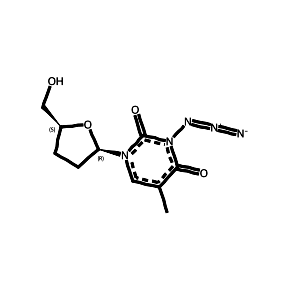 Cc1cn([C@H]2CC[C@@H](CO)O2)c(=O)n(N=[N+]=[N-])c1=O